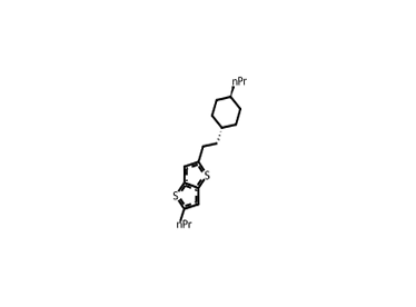 CCCc1cc2sc(CC[C@H]3CC[C@H](CCC)CC3)cc2s1